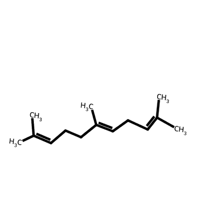 CC(C)=CC/C=C(\C)CCC=C(C)C